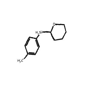 Cc1ccc([SiH2]C2CCCCO2)cc1